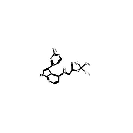 CC(C)(C)OC(=O)CNc1ccnc2[nH]cc(-c3ccnc(N)n3)c12